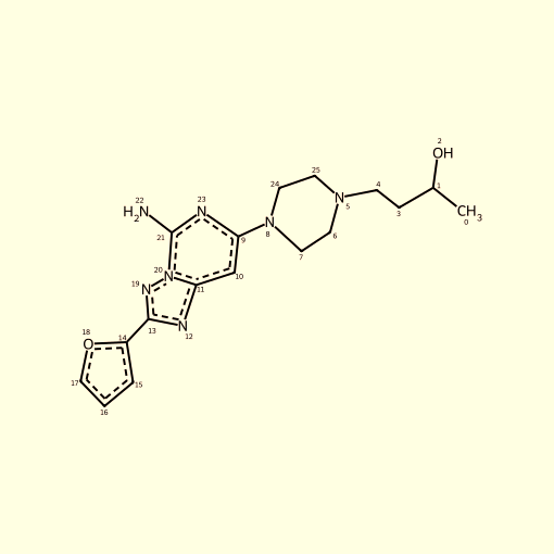 CC(O)CCN1CCN(c2cc3nc(-c4ccco4)nn3c(N)n2)CC1